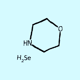 C1COCCN1.[SeH2]